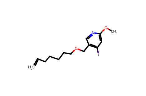 C=CCCCCCOCc1cnc(OC)cc1I